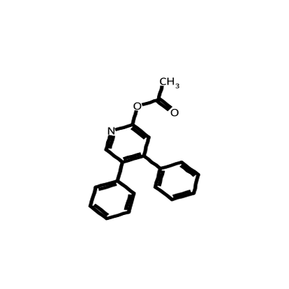 CC(=O)Oc1cc(-c2ccccc2)c(-c2ccccc2)cn1